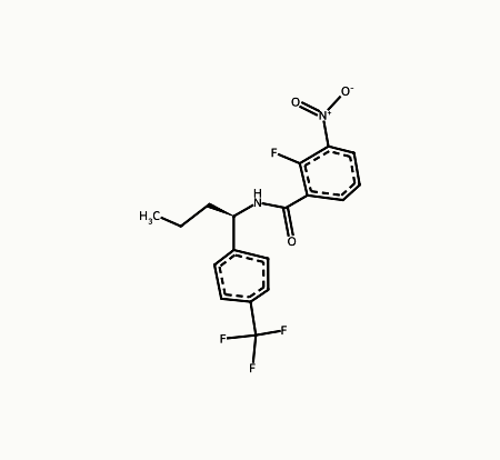 CCC[C@@H](NC(=O)c1cccc([N+](=O)[O-])c1F)c1ccc(C(F)(F)F)cc1